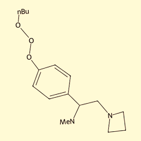 CCCCOOOc1ccc(C(CN2CCC2)NC)cc1